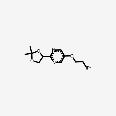 CC(C)CCOc1cnc(C2COC(C)(C)O2)nc1